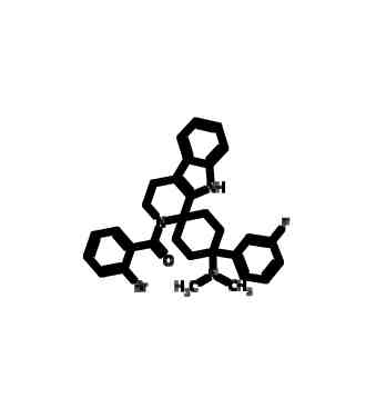 CN(C)C1(c2cccc(F)c2)CCC2(CC1)c1[nH]c3ccccc3c1CCN2C(=O)c1ccccc1Br